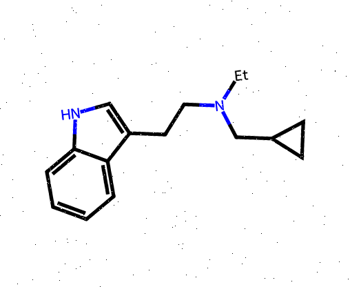 CCN(CCc1c[nH]c2ccccc12)CC1CC1